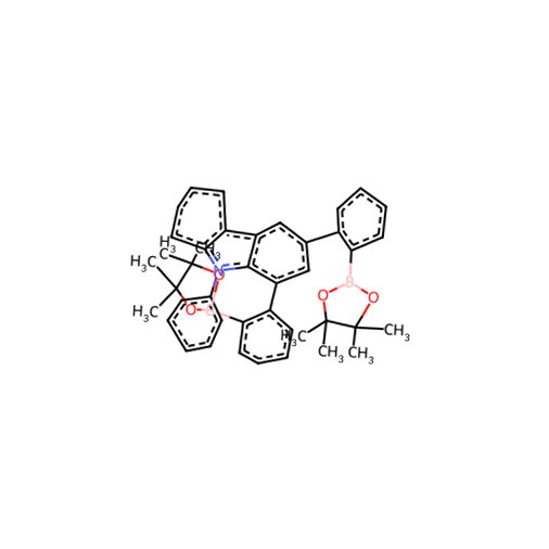 CC1(C)OB(c2ccccc2-c2cc(-c3ccccc3B3OC(C)(C)C(C)(C)O3)c3c(c2)c2ccccc2n3-c2ccccc2)OC1(C)C